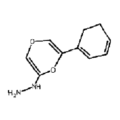 NNC1=COC=C(C2=CC=CCC2)O1